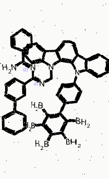 Bc1c(B)c(B)c(-c2ccc(-n3c4ccccc4c4ccc5c6ccccc6n(C/N=C(\N=C(/N)c6ccccc6)c6cccc(-c7ccccc7)c6)c5c43)cc2)c(B)c1B